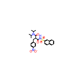 CC(C)N(C(=O)C(Cc1ccc([N+](=O)[O-])cc1)C(=O)NS(=O)(=O)c1ccc2ccccc2c1)C(C)C